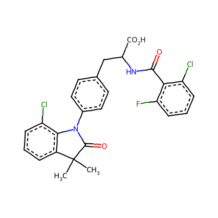 CC1(C)C(=O)N(c2ccc(CC(NC(=O)c3c(F)cccc3Cl)C(=O)O)cc2)c2c(Cl)cccc21